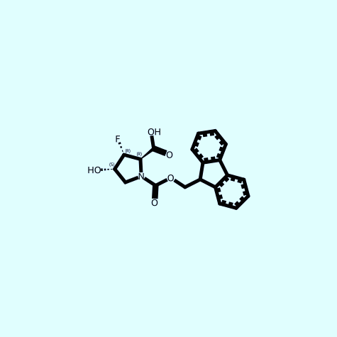 O=C(O)[C@@H]1[C@@H](F)[C@@H](O)CN1C(=O)OCC1c2ccccc2-c2ccccc21